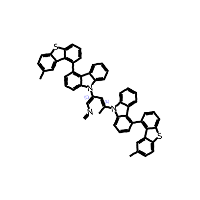 C=N/C=C(\C=C(/C)n1c2ccccc2c2c(-c3cccc4sc5ccc(C)cc5c34)cccc21)n1c2ccccc2c2c(-c3cccc4sc5ccc(C)cc5c34)cccc21